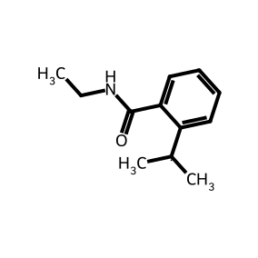 CCNC(=O)c1ccccc1[C](C)C